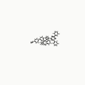 N#Cc1ccc(-c2ccc3c(c2)C2(c4ccccc4Sc4ccccc42)c2cc(-c4nc(-c5ccccc5)nc(-c5ccccc5)n4)ccc2-3)cc1